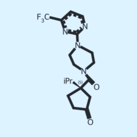 CC(C)[C@]1(C(=O)N2CCN(c3nccc(C(F)(F)F)n3)CC2)CCC(=O)C1